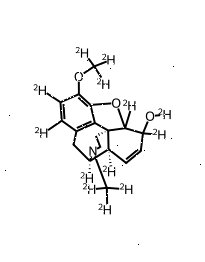 [2H]OC1([2H])C=C[C@@]2([2H])[C@@]3([2H])Cc4c([2H])c([2H])c(OC([2H])([2H])[2H])c5c4[C@@]2(CCN3C([2H])([2H])[2H])C1([2H])O5